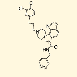 O=C(NCc1ccnnc1)N1CC2(CCN(CC=Cc3ccc(Cl)c(Cl)c3)CC2)c2c1ccc1scnc21